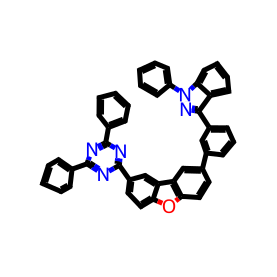 c1ccc(-c2nc(-c3ccccc3)nc(-c3ccc4oc5ccc(-c6cccc(-c7nn(-c8ccccc8)c8ccccc78)c6)cc5c4c3)n2)cc1